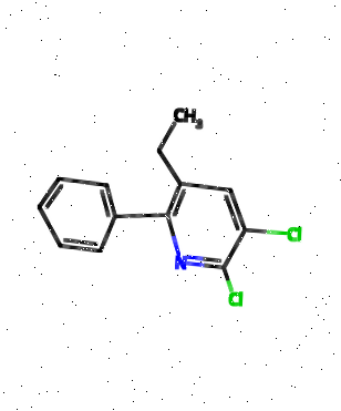 CCc1cc(Cl)c(Cl)nc1-c1ccccc1